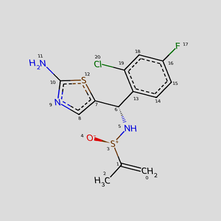 C=C(C)[S@@+]([O-])N[C@H](c1cnc(N)s1)c1ccc(F)cc1Cl